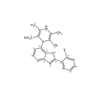 CCOC(=O)C1=C(C)NC(C)=C(C#N)C1c1cccc2nc(-c3ccccc3F)sc12